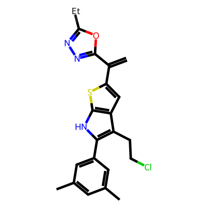 C=C(c1nnc(CC)o1)c1cc2c(CCCl)c(-c3cc(C)cc(C)c3)[nH]c2s1